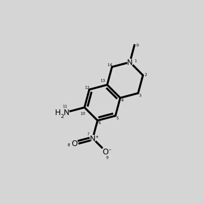 CN1CCc2cc([N+](=O)[O-])c(N)cc2C1